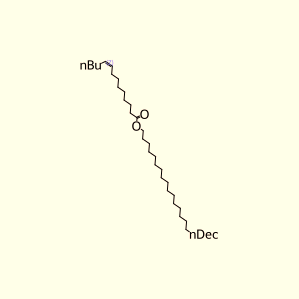 CCCC/C=C\CCCCCCCC(=O)OCCCCCCCCCCCCCCCCCCCCCCCCCC